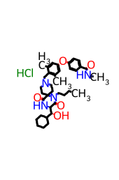 CCCCN1C(=O)[C@@H]([C@H](O)C2CCCCC2)NC(=O)C12CCN(Cc1c(C)cc(Oc3ccc(C(=O)NC)cc3)cc1C)CC2.Cl